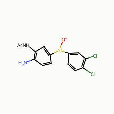 CC(=O)Nc1cc([S+]([O-])c2ccc(Cl)c(Cl)c2)ccc1N